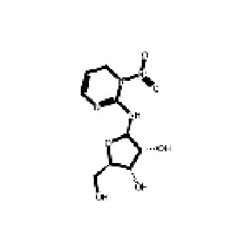 O=[N+]([O-])N1CC=CN=C1N[C@@H]1O[C@H](CO)[C@@H](O)[C@H]1O